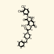 Cc1c2c(=O)n(-c3ccc(Cl)c(Cl)c3)[nH]c2cc(=O)n1CC(=O)N1CCN(Cc2ccccc2)CC1